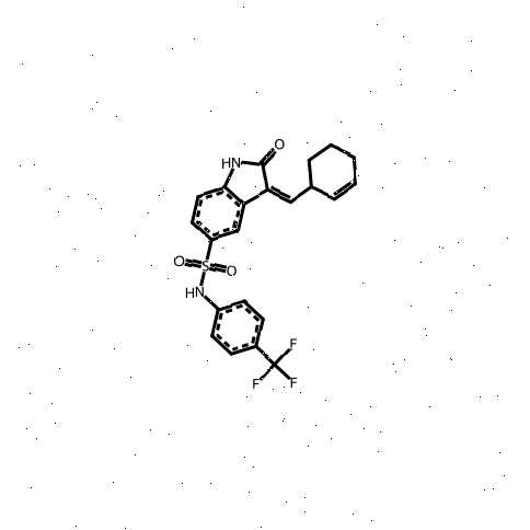 O=C1Nc2ccc(S(=O)(=O)Nc3ccc(C(F)(F)F)cc3)cc2C1=CC1C=CCCC1